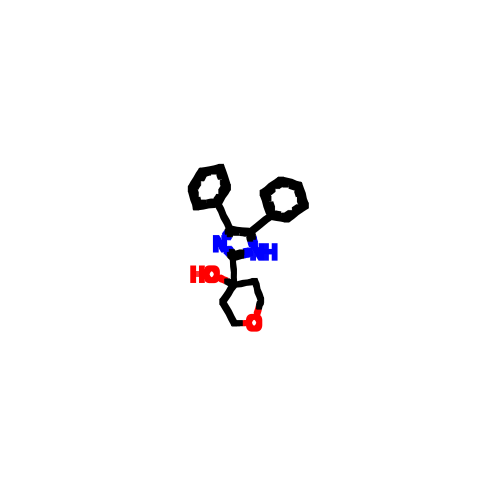 OC1(c2nc(-c3ccccc3)c(-c3ccccc3)[nH]2)CCOCC1